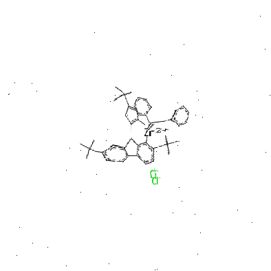 CC1=C(C2c3cc(C(C)(C)C)ccc3-c3ccc(C(C)(C)C)[c]([Zr+2]=[C](c4ccccc4)c4ccccc4)c32)CC(C(C)(C)C)=C1.[Cl-].[Cl-]